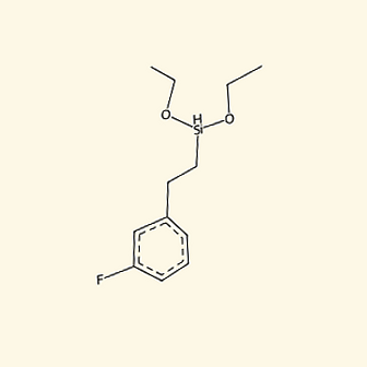 CCO[SiH](CCc1cccc(F)c1)OCC